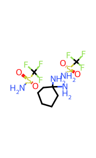 NC1(N)CCCCC1.NS(=O)(=O)C(F)(F)F.NS(=O)(=O)C(F)(F)F